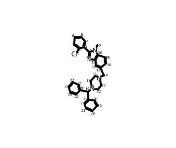 Cn1c(-c2ccccc2Cl)nc2cc(CN3CCN(C(c4ccccc4)c4ccccc4)CC3)ccc21